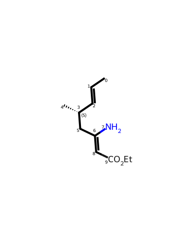 CC=C[C@@H](C)CC(N)=CC(=O)OCC